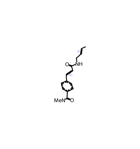 C/C=C/CNC(=O)/C=C/c1ccc(C(=O)NC)cc1